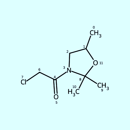 CC1CN(C(=O)CCl)C(C)(C)O1